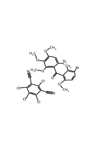 COc1cc(C)c(C(=O)c2c(OC)ccc(Br)c2C)c(OC)c1OC.N#Cc1c(Cl)c(Cl)c(Cl)c(C#N)c1Cl